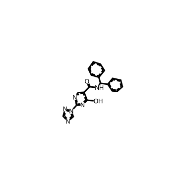 O=C(NC(c1ccccc1)c1ccccc1)c1cnc(-n2cncn2)nc1O